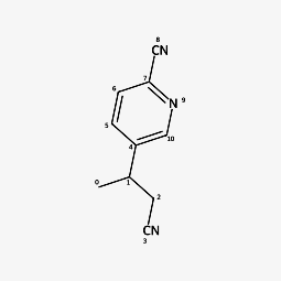 CC(CC#N)c1ccc(C#N)nc1